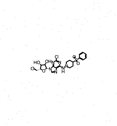 O=S(=O)(c1ccccc1)C1CCN(Nc2nc(Cl)nc3c2ncn3[C@@H]2O[C@H](CCl)C(O)C2O)CC1